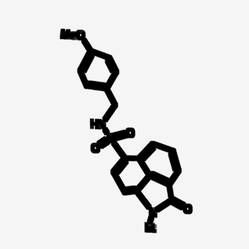 CCN1C(=O)c2cccc3c(S(=O)(=O)NCc4ccc(OC)cc4)ccc1c23